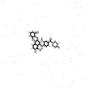 COc1cc(C(=O)N2CCN(C)CC2)ccc1Nc1cc(Cc2c(Cl)cccc2Cl)nc2cc[nH]c(=O)c12